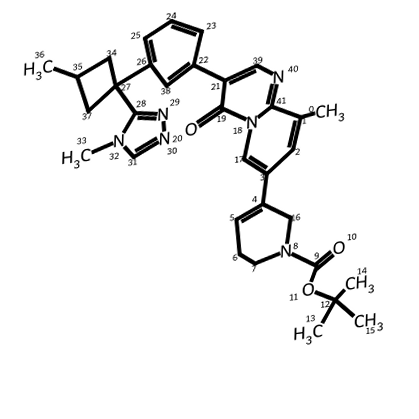 Cc1cc(C2=CCCN(C(=O)OC(C)(C)C)C2)cn2c(=O)c(-c3cccc(C4(c5nncn5C)CC(C)C4)c3)cnc12